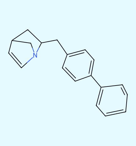 C1=CN2CC1CC2Cc1ccc(-c2ccccc2)cc1